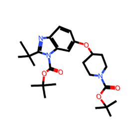 CC(C)(C)OC(=O)N1CCC(Oc2ccc3nc(C(C)(C)C)n(C(=O)OC(C)(C)C)c3c2)CC1